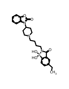 CCc1ccc2c(c1)C(=O)N(CCCCN1CCC(n3c(=O)oc4ccccc43)CC1)S2(O)O